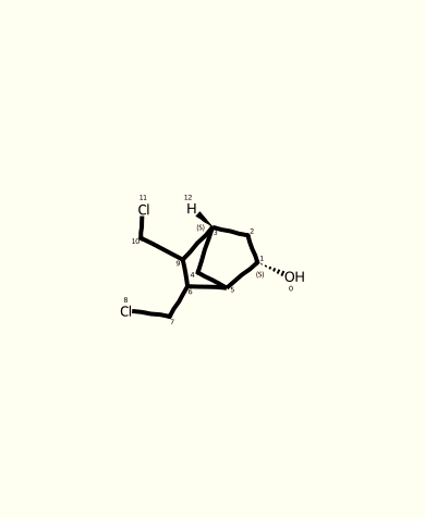 O[C@H]1C[C@@H]2CC1C(CCl)C2CCl